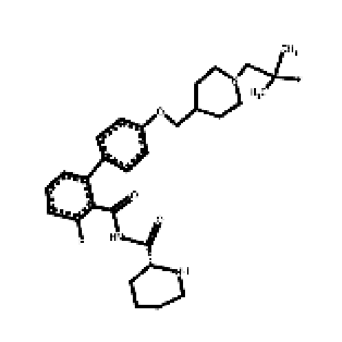 CC(C)(F)CN1CCC(COc2ccc(-c3cccc(F)c3C(=O)NC(=O)[C@H]3CCCCN3)cc2)CC1